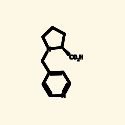 O=C(O)[C@@H]1CCCN1Cc1ccncc1